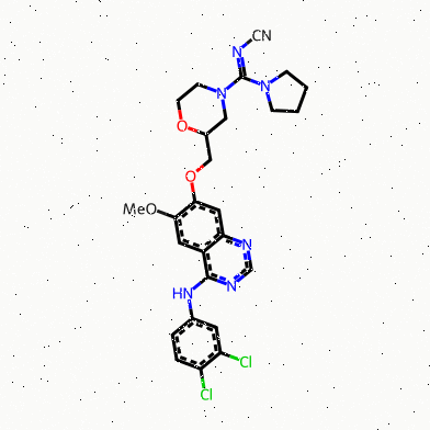 COc1cc2c(Nc3ccc(Cl)c(Cl)c3)ncnc2cc1OCC1CN(/C(=N/C#N)N2CCCC2)CCO1